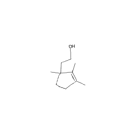 CC1=C(C)C(C)(CCO)CC1